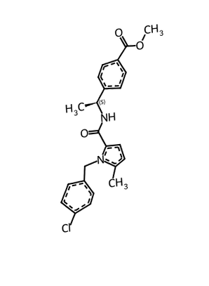 COC(=O)c1ccc([C@H](C)NC(=O)c2ccc(C)n2Cc2ccc(Cl)cc2)cc1